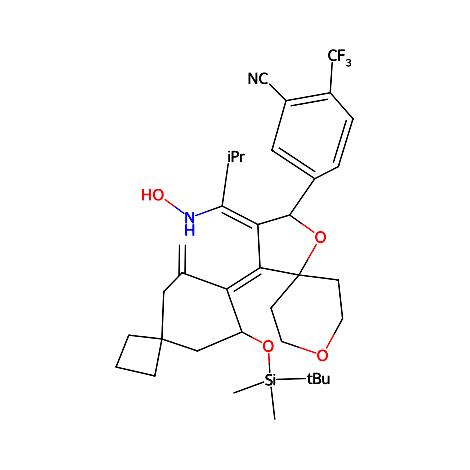 C=C1CC2(CCC2)CC(O[Si](C)(C)C(C)(C)C)/C1=C1/C(=C(\NO)C(C)C)C(c2ccc(C(F)(F)F)c(C#N)c2)OC12CCOCC2